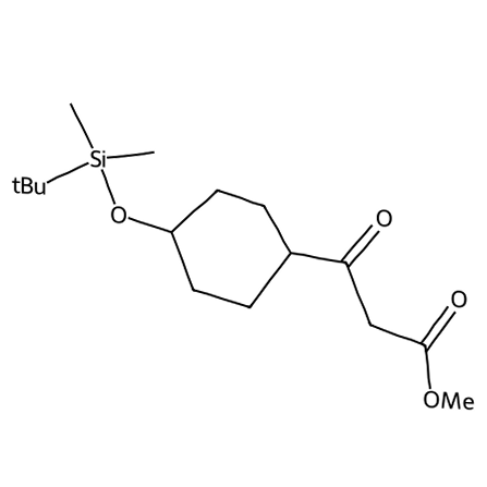 COC(=O)CC(=O)C1CCC(O[Si](C)(C)C(C)(C)C)CC1